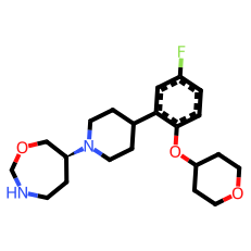 Fc1ccc(OC2CCOCC2)c(C2CCN([C@H]3CCNCOC3)CC2)c1